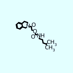 CC(C)CCCNC(=O)OCC(=O)N1CCc2ccccc2C1